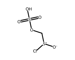 O=S(=O)(O)OC[S+]([O-])Cl